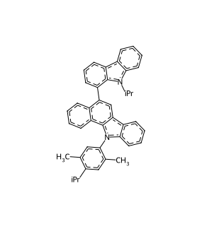 Cc1cc(-n2c3ccccc3c3cc(-c4cccc5c6ccccc6n(C(C)C)c45)c4ccccc4c32)c(C)cc1C(C)C